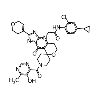 Cc1ncnc(C(=O)N2CCC3(CC2)OCCc2c3c(=O)n3nc(C4=CCOCC4)nc3n2CC(=O)Nc2ccc(C3CC3)cc2Cl)c1O